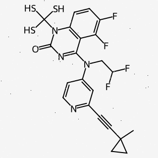 CC1(C#Cc2cc(N(CC(F)F)c3nc(=O)n(C(S)(S)S)c4ccc(F)c(F)c34)ccn2)CC1